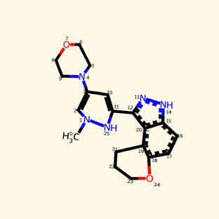 CN1C=C(N2CCOCC2)C=C(c2n[nH]c3ccc4c(c23)CCCO4)N1